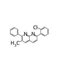 Cc1cc2ccc(-c3ccccc3Cl)nc2nc1-c1ccccc1